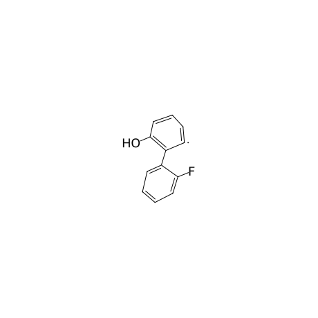 Oc1ccc[c]c1-c1ccccc1F